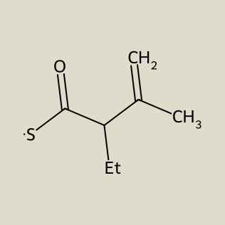 C=C(C)C(CC)C(=O)[S]